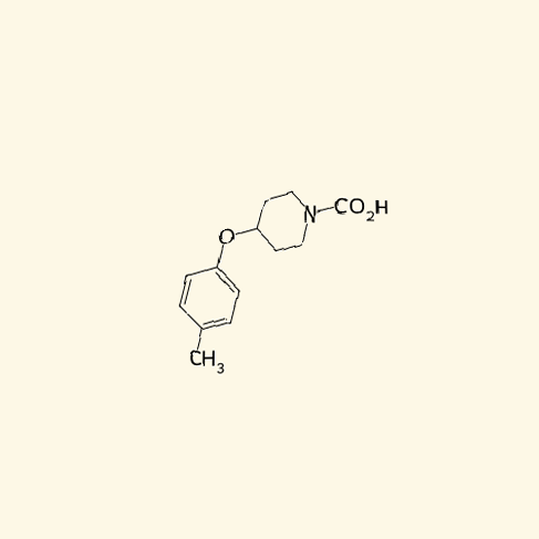 Cc1ccc(OC2CCN(C(=O)O)CC2)cc1